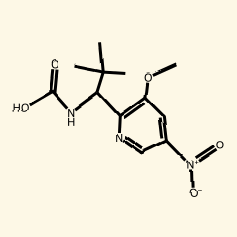 COc1cc([N+](=O)[O-])cnc1C(NC(=O)O)C(C)(C)C